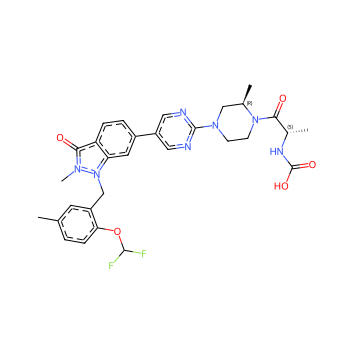 Cc1ccc(OC(F)F)c(Cn2c3cc(-c4cnc(N5CCN(C(=O)[C@H](C)NC(=O)O)[C@H](C)C5)nc4)ccc3c(=O)n2C)c1